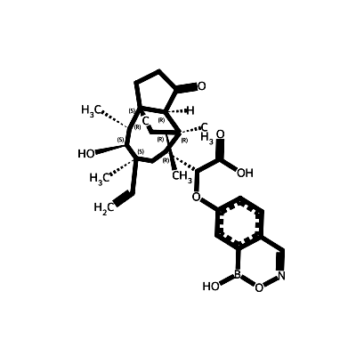 C=C[C@]1(C)C[C@@H](C(Oc2ccc3c(c2)B(O)ON=C3)C(=O)O)[C@@]2(C)[C@H](C)CC[C@]3(CCC(=O)[C@H]32)[C@@H](C)[C@@H]1O